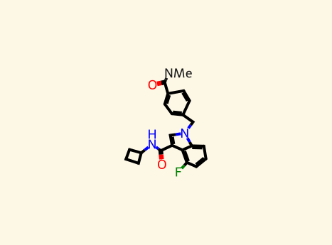 CNC(=O)c1ccc(Cn2cc(C(=O)NC3CCC3)c3c(F)cccc32)cc1